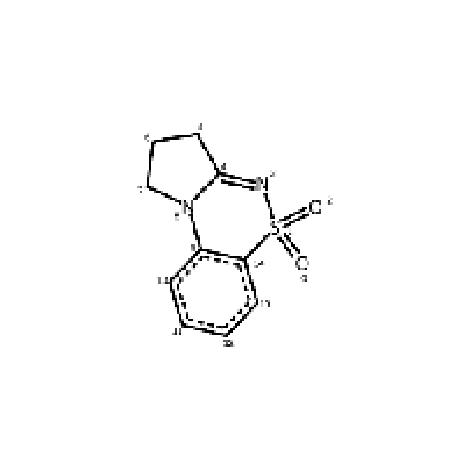 O=S1(=O)N=C2CCCN2c2ccccc21